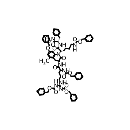 Cc1cc(OCc2ccccc2)cc2c1CC(NC(=O)C(CCCN/C(=N\C(=O)OCc1ccccc1)NC(=O)OCc1ccccc1)NC(=O)OCc1ccccc1)C(=O)N2[C@@H](CCCCNC(=O)OCc1ccccc1)C(=O)N[C@@H](Cc1ccccc1)C(N)=O